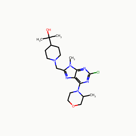 CC1COCCN1c1nc(Cl)nc2c1nc(CN1CCC(C(C)(C)O)CC1)n2C